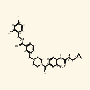 O=C(NCC1CC1)Nc1ccc(C(=O)N2CCN(Cc3cccc(C(=O)NCc4ccc(F)cc4F)c3)CC2)cc1F